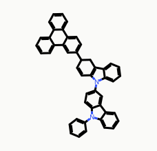 C1=CC(c2ccc3c4ccccc4c4ccccc4c3c2)Cc2c1n(-c1ccc3c(c1)c1ccccc1n3-c1ccccc1)c1ccccc21